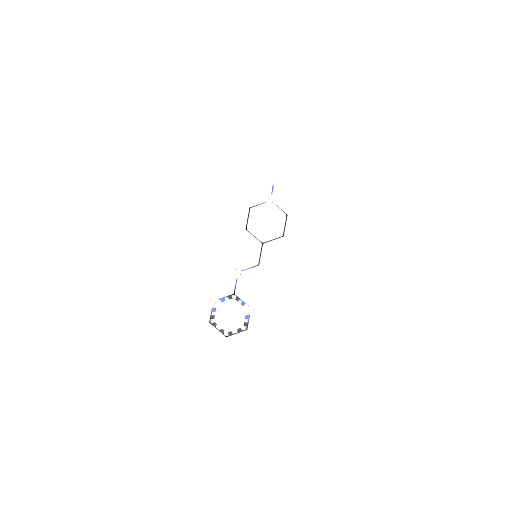 O=C(O)N1CCC(CNc2ncccn2)CC1